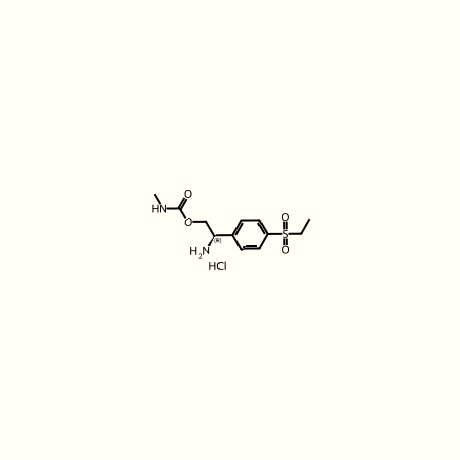 CCS(=O)(=O)c1ccc([C@@H](N)COC(=O)NC)cc1.Cl